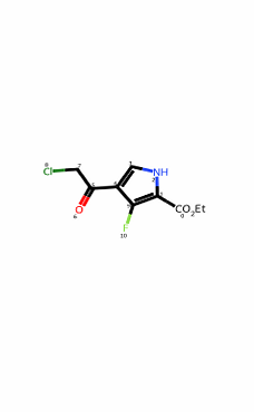 CCOC(=O)c1[nH]cc(C(=O)CCl)c1F